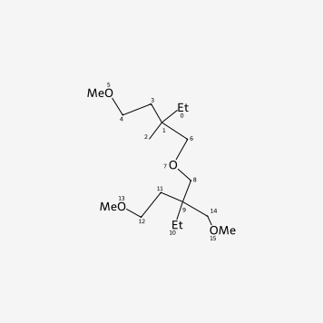 CCC(C)(CCOC)COCC(CC)(CCOC)COC